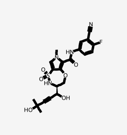 Cn1cc2c(c1C(=O)Nc1ccc(F)c(C#N)c1)OC[C@@H](C(O)C#CC(C)(C)O)NS2(=O)=O